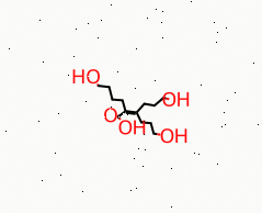 O=C(O)C(CCCCO)=C(CCCO)CCCO